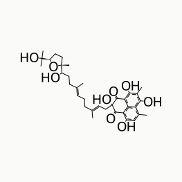 C/C(=C\C[C@]1(O)C(=O)c2c(O)cc(C)c3c(O)c(C)c(O)c(c23)C1=O)CC/C=C(\C)CCC(O)[C@@]1(C)CC[C@H](C(C)(C)O)O1